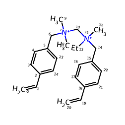 C=Cc1ccc(C[N+](C)(C)C[N+](C)(CC)Cc2ccc(C=C)cc2)cc1